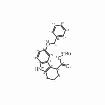 CC(C)(C)OC(=O)C1CCCc2[nH]c3ccc(OCc4ccccc4)cc3c21